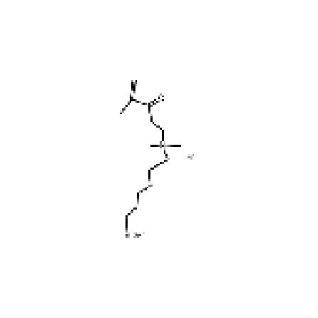 C=C(C)C(=O)CC[N+](C)(C)CCCCCCCCCCCCCCCC.[Br-]